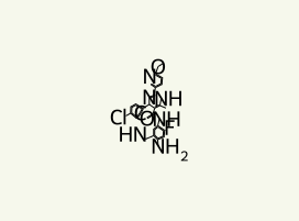 COc1ccc(C2=NC(c3ccc(Cl)cc3)C(C(=O)Nc3cc(C=N)c(N)cc3F)=C(C)N2)cn1